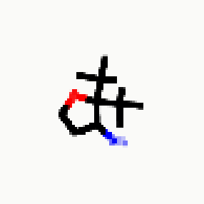 CC(C)(C)C1(C(C)(C)C)OCCC1N